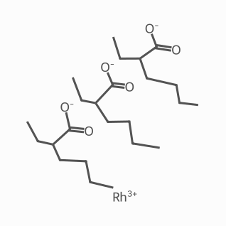 CCCCC(CC)C(=O)[O-].CCCCC(CC)C(=O)[O-].CCCCC(CC)C(=O)[O-].[Rh+3]